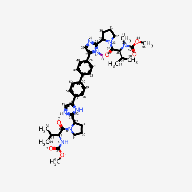 COC(=O)N[C@H](C(=O)N1CCCC1c1ncc(-c2ccc(-c3ccc(-c4cnc(C5CCCN5C(=O)[C@H](C(C)C)N(C)C(=O)OC)n4I)cc3)cc2)[nH]1)C(C)C